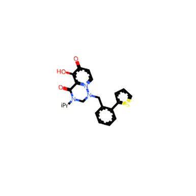 CC(C)N1CN(Cc2ccccc2-c2cccs2)n2ccc(=O)c(O)c2C1=O